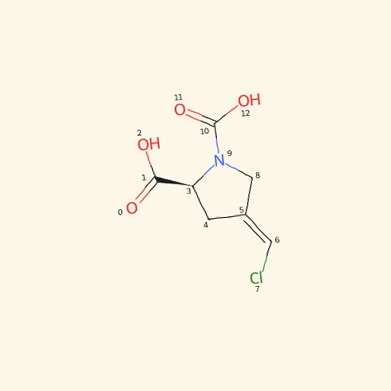 O=C(O)[C@@H]1C/C(=C\Cl)CN1C(=O)O